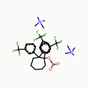 C[N+](C)(C)C.C[N+](C)(C)C.[O-]B([O-])OC1(c2cccc(C(F)(F)F)c2)CCCCCC1(c1cccc(C(F)(F)F)c1)c1cccc(C(F)(F)F)c1